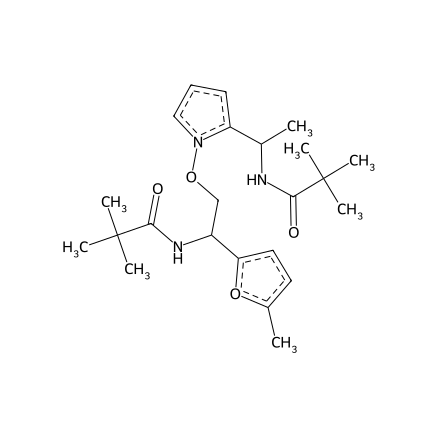 Cc1ccc(C(COn2cccc2C(C)NC(=O)C(C)(C)C)NC(=O)C(C)(C)C)o1